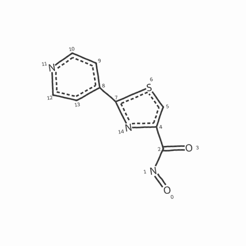 O=NC(=O)c1csc(-c2ccncc2)n1